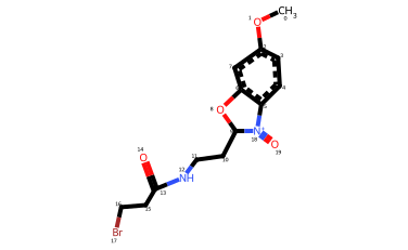 COc1ccc2c(c1)OC(CCNC(=O)CCBr)[N+]2=O